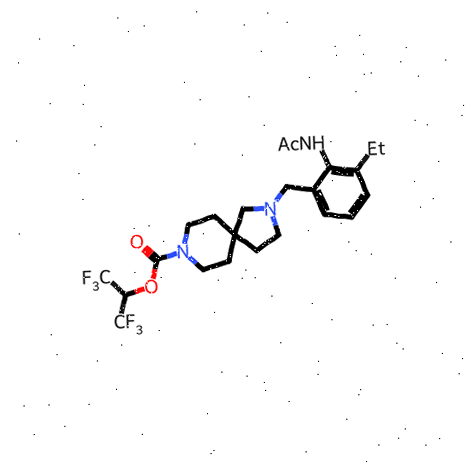 CCc1cccc(CN2CCC3(CCN(C(=O)OC(C(F)(F)F)C(F)(F)F)CC3)C2)c1NC(C)=O